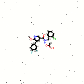 COc1ncc(C(=O)N[C@@H](CC(=O)O)c2ccccc2Cl)cc1-c1ccc(F)c(F)c1